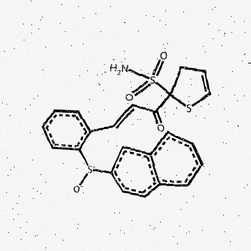 NS(=O)(=O)C1(C(=O)C=Cc2ccccc2[S+]([O-])c2ccc3ccccc3c2)CC=CS1